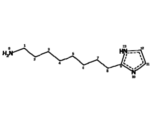 NCCCCCCCCc1ncc[nH]1